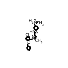 Cc1cc(-c2nc3ccc(CN(C)C)cc3[nH]2)nn1Cc1cc(Cl)ccc1OCc1ccccc1